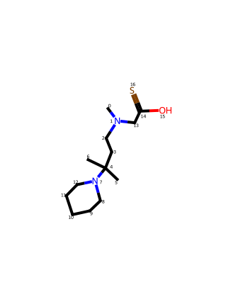 CN(CCC(C)(C)N1CCCCC1)CC(O)=S